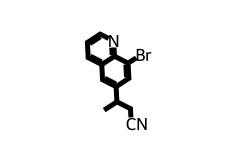 CC(CC#N)c1cc(Br)c2ncccc2c1